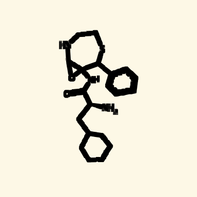 N[C@@H](CC1CCCCC1)C(=O)NC12OC1NCCSC2c1ccccc1